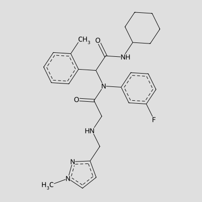 Cc1ccccc1C(C(=O)NC1CCCCC1)N(C(=O)CNCc1ccn(C)n1)c1cccc(F)c1